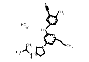 CCCc1cc(N2CC[C@H](NC(C)C)C2)nc(Nc2ccc(C)c(C#N)c2)n1.Cl.Cl